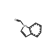 O=C[SH]1C=Cc2ccccc21